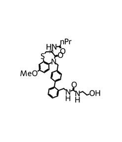 CCCC(=O)N[C@@H]1CSc2cc(OC)ccc2N(Cc2ccc(-c3ccccc3CNC(=O)NCCO)cc2)C1=O